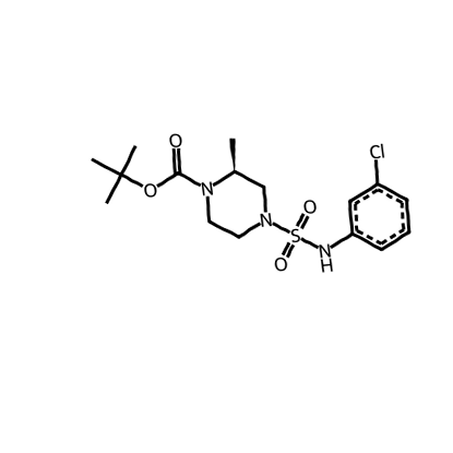 C[C@H]1CN(S(=O)(=O)Nc2cccc(Cl)c2)CCN1C(=O)OC(C)(C)C